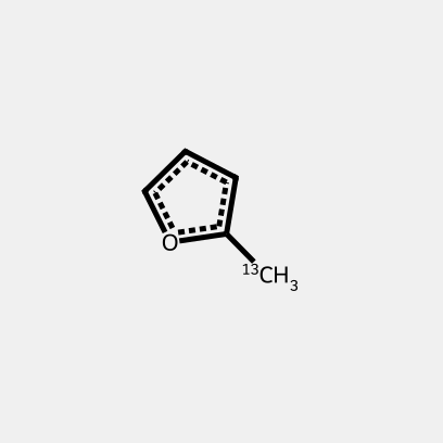 [13CH3]c1ccco1